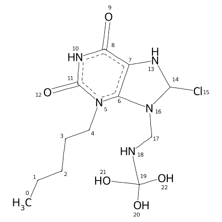 CCCCCn1c2c(c(=O)[nH]c1=O)NC(Cl)N2CNC(O)(O)O